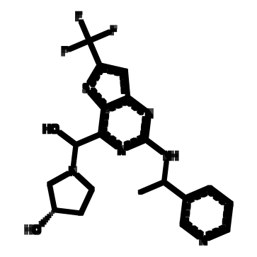 CC(Nc1nc(C(O)N2CC[C@H](O)C2)c2sc(C(F)(F)F)cc2n1)c1cccnc1